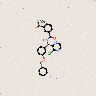 COC(=O)c1cccc(C(=O)NC(c2cccc(OCc3ccccc3)c2)c2nccnc2Cl)c1